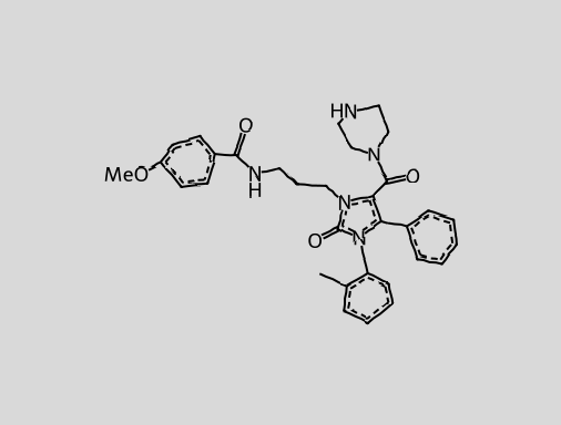 COc1ccc(C(=O)NCCCn2c(C(=O)N3CCNCC3)c(-c3ccccc3)n(-c3ccccc3C)c2=O)cc1